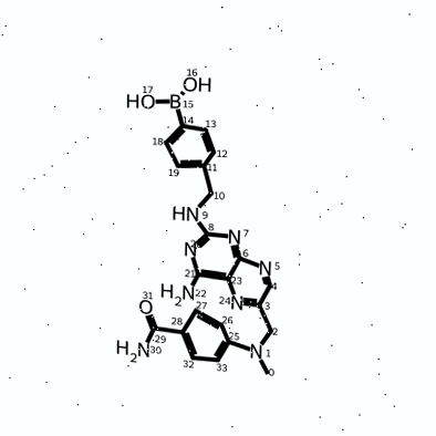 CN(Cc1cnc2nc(NCc3ccc(B(O)O)cc3)nc(N)c2n1)c1ccc(C(N)=O)cc1